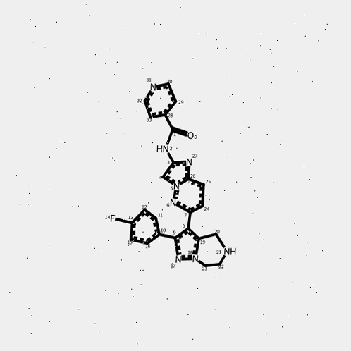 O=C(Nc1cn2nc(-c3c(-c4ccc(F)cc4)nn4c3CNCC4)ccc2n1)c1ccncc1